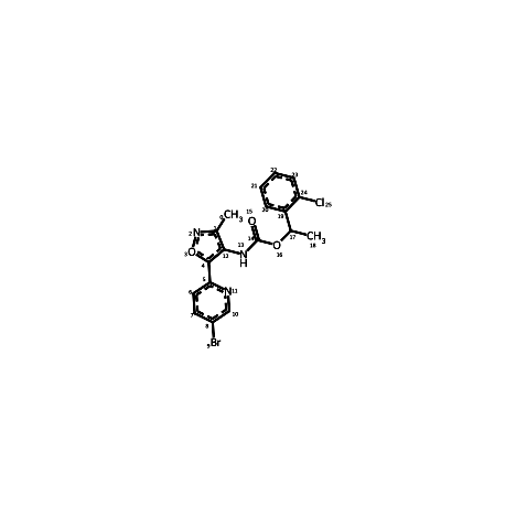 Cc1noc(-c2ccc(Br)cn2)c1NC(=O)OC(C)c1ccccc1Cl